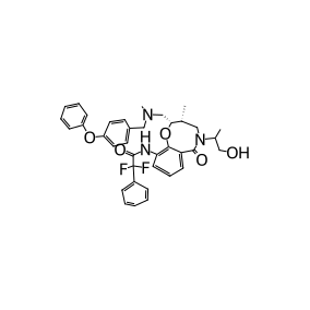 CC(CO)N1C[C@@H](C)[C@@H](CN(C)Cc2ccc(Oc3ccccc3)cc2)Oc2c(NC(=O)C(F)(F)c3ccccc3)cccc2C1=O